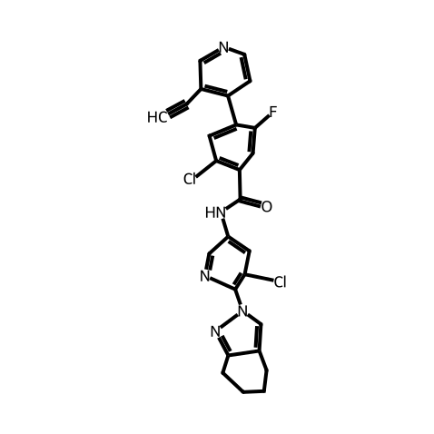 C#Cc1cnccc1-c1cc(Cl)c(C(=O)Nc2cnc(-n3cc4c(n3)CCCC4)c(Cl)c2)cc1F